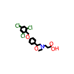 O=C(O)CCN1CCOC(c2ccc(OCc3c(Cl)cc(Cl)cc3Cl)cc2)C1